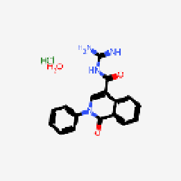 Cl.N=C(N)NC(=O)c1cn(-c2ccccc2)c(=O)c2ccccc12.O